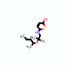 CCCC(C)OC(C)(C)CNC(=O)/C=C\C(=O)O